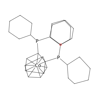 C1CCC(P(C2CCCCC2)[C]23[CH]4[CH]5[CH]6[C]2(P(C2CCCCC2)C2CCCCC2)[Co]54632789[CH]3[CH]2[CH]7[CH]8[CH]39)CC1